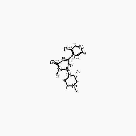 C[C@@H]1CN(C)CCN1c1nc(-c2ccncc2F)cc(=O)n1C